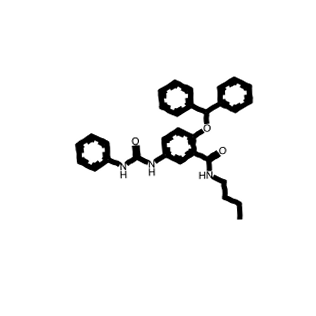 CCCCNC(=O)c1cc(NC(=O)Nc2ccccc2)ccc1OC(c1ccccc1)c1ccccc1